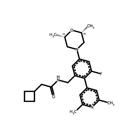 Cc1cc(-c2c(F)cc(N3C[C@@H](C)O[C@@H](C)C3)cc2CNC(=O)CC2CCC2)cc(C)n1